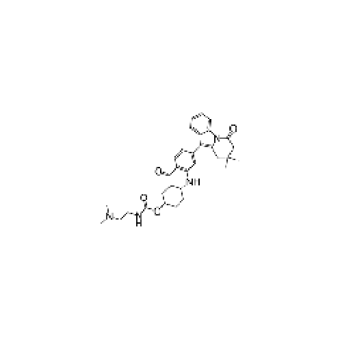 CN(C)CCNC(=O)O[C@H]1CC[C@H](Nc2cc(-c3c4n(c5ccccc35)C(=O)CC(C)(C)C4)ccc2C=O)CC1